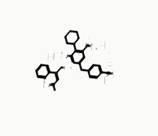 Cc1cc(COc2c(C(=O)c3ccc(C(F)(F)F)cc3)cc(C(N)=O)c(C3CCCCC3)c2N)c2ccccc2n1